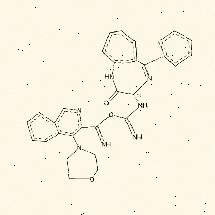 N=C(N[C@H]1N=C(c2ccccc2)c2ccccc2NC1=O)OC(=N)c1ncc2ccccc2c1N1CCOCC1